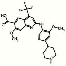 COc1cc(N2CCNCC2)ccc1Nc1cc(C(F)(F)F)c2cc(C(=O)O)c(OC)cc2n1